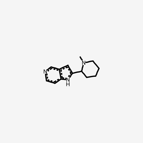 CN1CCCCC1c1cc2cnccc2[nH]1